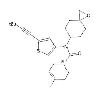 CC1=CC[C@H](C(=O)N(c2csc(C#CC(C)(C)C)c2)C2CCC3(CC2)CO3)CC1